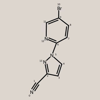 N#Cc1ccn(-c2ccc(Br)cn2)n1